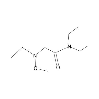 CCN(CC(=O)N(CC)CC)OC